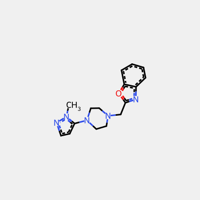 Cn1nccc1N1CCN(Cc2nc3ccccc3o2)CC1